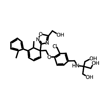 Cc1ccccc1C1=CC=CC(COc2ccc(CNC(CO)(CO)CO)cc2Cl)(c2noc(CO)n2)C1C